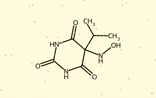 CC(C)C1(NO)C(=O)NC(=O)NC1=O